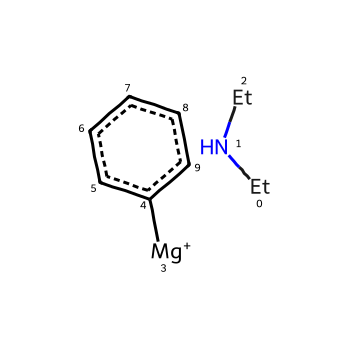 CCNCC.[Mg+][c]1ccccc1